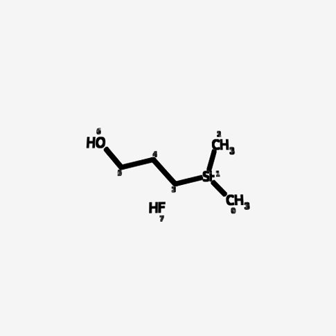 C[Si](C)CCCO.F